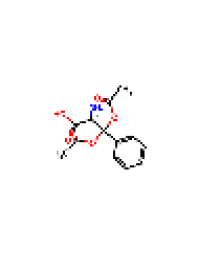 CC(=O)OC(OC(C)=O)(c1ccccc1)[C@H](N)C(=O)O